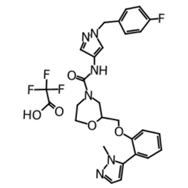 Cn1nccc1-c1ccccc1OCC1CN(C(=O)Nc2cnn(Cc3ccc(F)cc3)c2)CCO1.O=C(O)C(F)(F)F